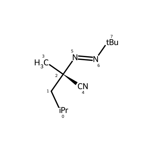 CC(C)C[C@@](C)(C#N)N=NC(C)(C)C